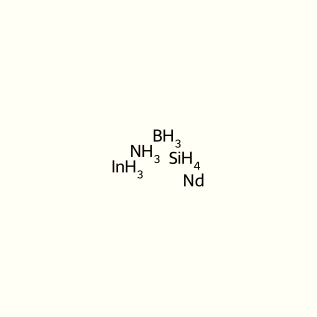 B.N.[InH3].[Nd].[SiH4]